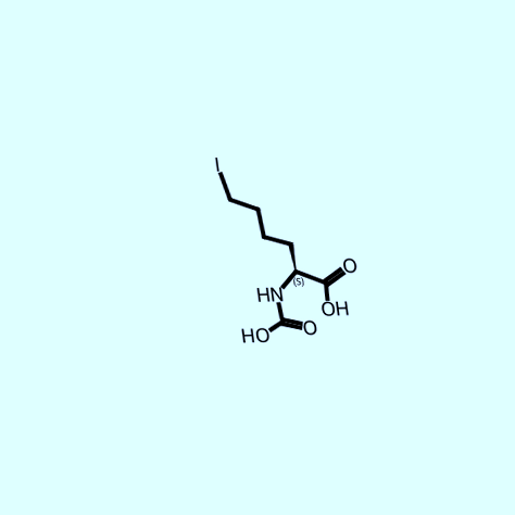 O=C(O)N[C@@H](CCCCI)C(=O)O